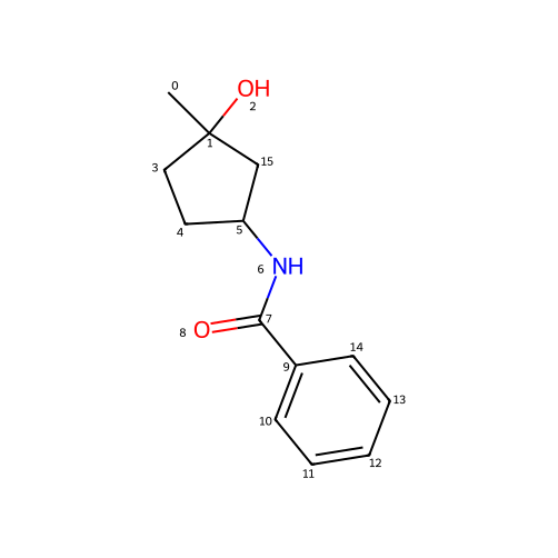 CC1(O)CCC(NC(=O)c2ccccc2)C1